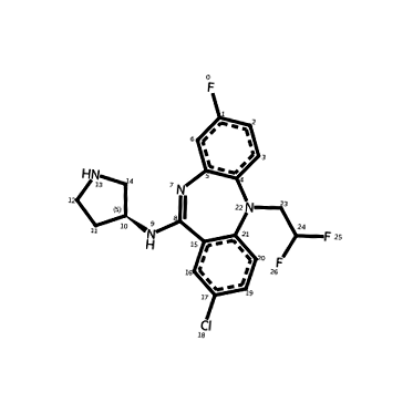 Fc1ccc2c(c1)N=C(N[C@H]1CCNC1)c1cc(Cl)ccc1N2CC(F)F